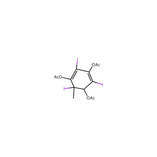 CC(=O)OC1=C(I)C(OC(C)=O)C(C)(I)C(OC(C)=O)=C1I